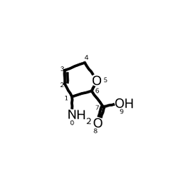 NC1C=CCOC1C(=O)O